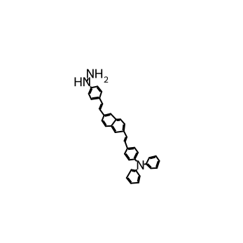 NNc1ccc(C=Cc2ccc3cc(C=Cc4ccc(N(c5ccccc5)c5ccccc5)cc4)ccc3c2)cc1